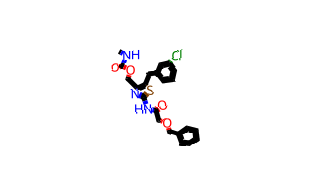 CNC(=O)OCc1nc(NC(=O)COCc2ccccc2)sc1Cc1cccc(Cl)c1